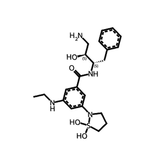 CCNc1cc(C(=O)N[C@@H](Cc2ccccc2)[C@@H](O)CN)cc(N2CCCS2(O)O)c1